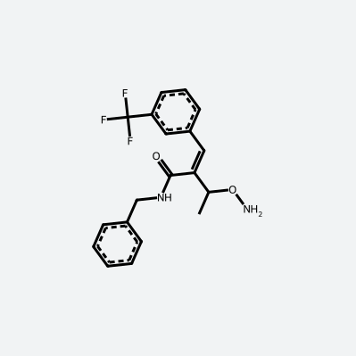 CC(ON)C(=Cc1cccc(C(F)(F)F)c1)C(=O)NCc1ccccc1